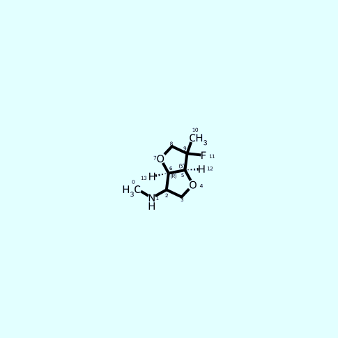 CNC1CO[C@H]2[C@@H]1OCC2(C)F